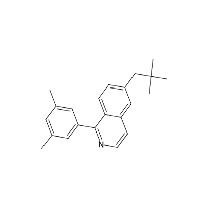 Cc1cc(C)cc(-c2nccc3cc(CC(C)(C)C)ccc23)c1